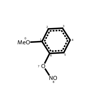 COc1ccccc1ON=O